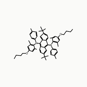 CCCCOc1cc(C)c(N(c2ccc(C)cc2)c2c3ccc(C(C)(C)C)cc3c(N(c3ccc(C)cc3)c3c(C)cc(OCCCC)cc3C)c3ccc(C(C)(C)C)cc23)c(C)c1